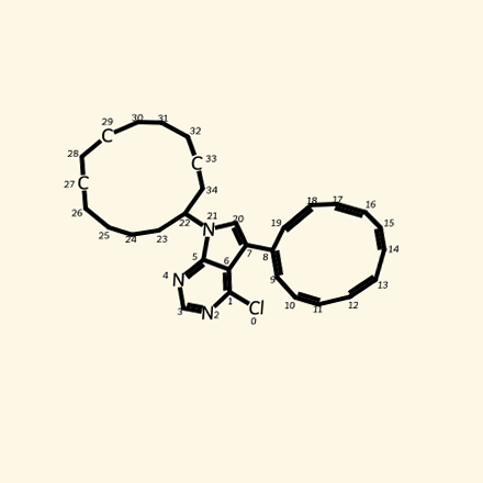 Clc1ncnc2c1c(C1=C/C=C\C=C/C=C\C=C/C=C\1)cn2C1CCCCCCCCCCCC1